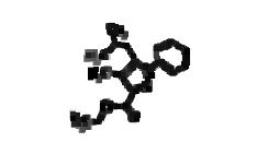 CCOC(=O)c1nn(-c2ccccc2)c(CC(C)C)c1C